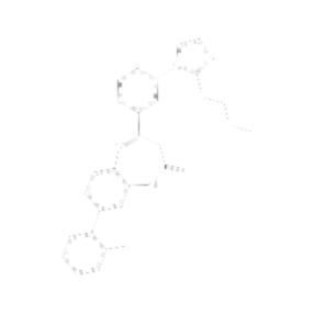 COCSc1nccn1-c1cccc(C2=Nc3ccc(-c4ccccc4F)cc3NC(=O)C2)c1